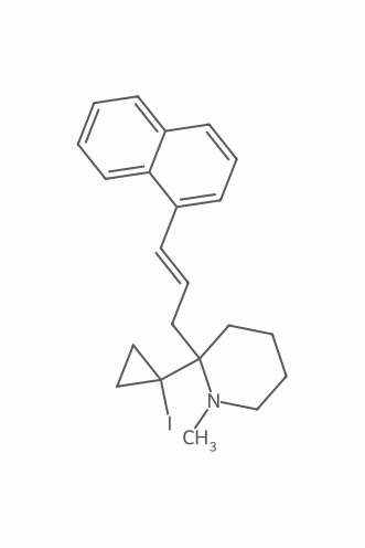 CN1CCCCC1(CC=Cc1cccc2ccccc12)C1(I)CC1